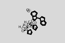 C1=CC(C2C=Cc3ccccc32)c2ccccc21.[CH3][Zr+2]([CH3])([CH3])([CH3])[C]1=CC=CC1.[CH3][Zr]([Cl])([Cl])[C]1=CC=CC1.[Cl-].[Cl-]